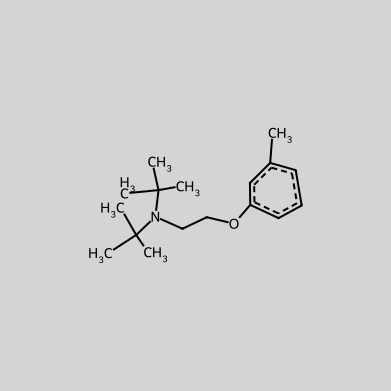 Cc1cccc(OCCN(C(C)(C)C)C(C)(C)C)c1